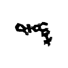 CC[C@@H]1C[C@@H](S(=O)(=O)c2ccccc2Cl)CN1c1nnc(C(F)(F)F)s1